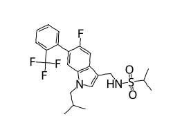 CC(C)Cn1cc(CNS(=O)(=O)C(C)C)c2cc(F)c(-c3ccccc3C(F)(F)F)cc21